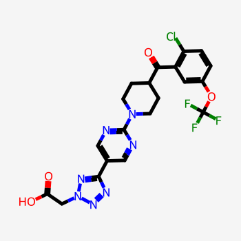 O=C(O)Cn1nnc(-c2cnc(N3CCC(C(=O)c4cc(OC(F)(F)F)ccc4Cl)CC3)nc2)n1